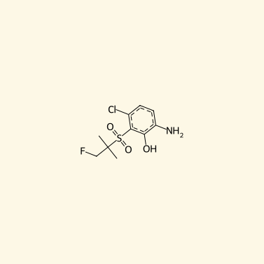 CC(C)(CF)S(=O)(=O)c1c(Cl)ccc(N)c1O